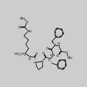 CC(C)(C)OC(=O)NCCCC[C@@H](NC(=O)[C@H]1CCCN1C(=O)[C@@H](Cc1ccccc1)NC(=O)[C@@H](Cc1ccccc1)NC(=O)OC(C)(C)C)C(=O)O